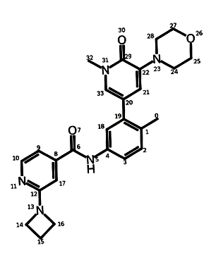 Cc1ccc(NC(=O)c2ccnc(N3CCC3)c2)cc1-c1cc(N2CCOCC2)c(=O)n(C)c1